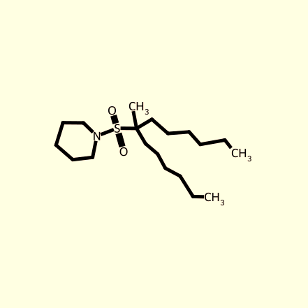 CCCCCCC(C)(CCCCCC)S(=O)(=O)N1CCCCC1